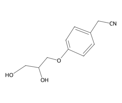 N#CCc1ccc(OCC(O)CO)cc1